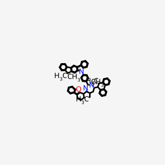 CCC1CC(C2c3ccccc3-c3ccccc3C2C)N(C)C(c2ccc(-n3c4ccccc4c4cc5c(cc43)C(C)(C)c3ccccc3-5)cc2)N=C1C1CC=Cc2c1oc1ccccc21